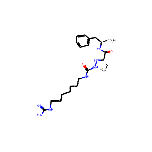 N=C(N)NCCCCCCCNC(=O)NN[C@@H](CC(=O)O)C(=O)N[C@@H](Cc1ccccc1)C(=O)O